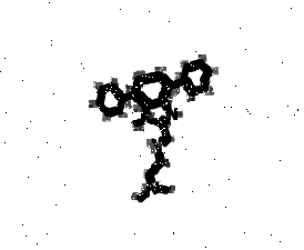 CN(C)CC/N=C/c1nc2c(-c3ccccc3)ccc(-c3ccccc3)c2n1C